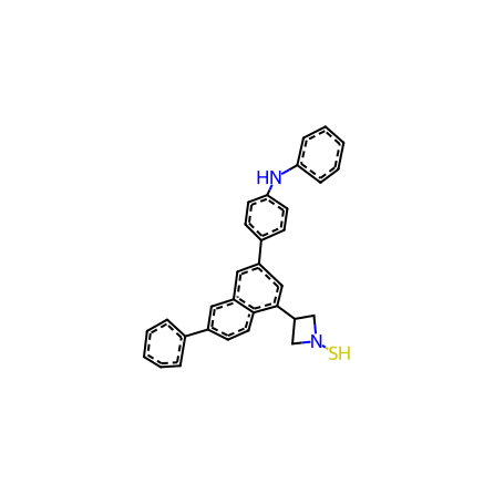 SN1CC(c2cc(-c3ccc(Nc4ccccc4)cc3)cc3cc(-c4ccccc4)ccc23)C1